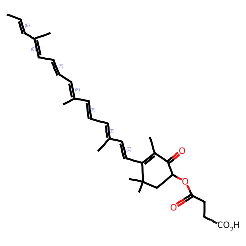 C/C=C/C(C)=C/C=C/C=C(C)/C=C/C=C(C)/C=C/C1=C(C)C(=O)C(OC(=O)CCC(=O)O)CC1(C)C